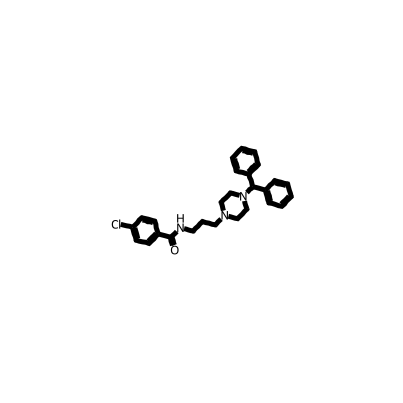 O=C(NCCCN1CCN(C(c2ccccc2)c2ccccc2)CC1)c1ccc(Cl)cc1